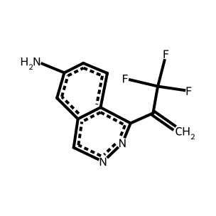 C=C(c1nncc2cc(N)ccc12)C(F)(F)F